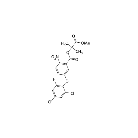 COC(=O)C(C)(C)OC(=O)c1cc(Oc2c(F)cc(Cl)cc2Cl)ccc1[N+](=O)[O-]